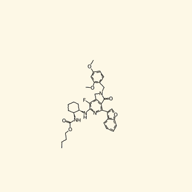 CCCCOC(=O)N[C@H]1CCCC[C@H]1Nc1nc(-c2coc3ccccc23)c2c(c1F)CN(Cc1ccc(OC)cc1OC)C2=O